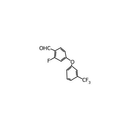 O=Cc1ccc(Oc2cccc(C(F)(F)F)c2)cc1F